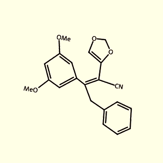 COc1cc(OC)cc(C(Cc2ccccc2)=C(C#N)C2=COCO2)c1